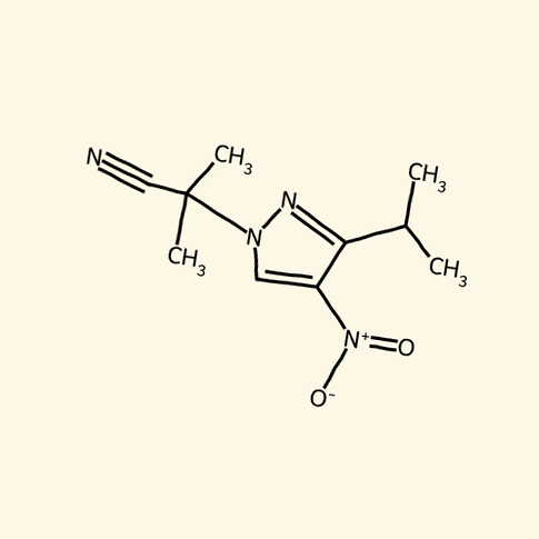 CC(C)c1nn(C(C)(C)C#N)cc1[N+](=O)[O-]